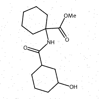 COC(=O)C1(NC(=O)C2CCCC(O)C2)CCCCC1